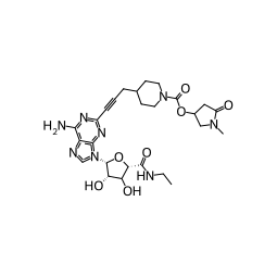 CCNC(=O)[C@H]1O[C@@H](n2cnc3c(N)nc(C#CCC4CCN(C(=O)OC5CC(=O)N(C)C5)CC4)nc32)[C@@H](O)C1O